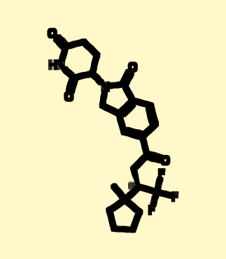 CC1([C@@H](CC(=O)c2ccc3c(c2)CN(C2CCC(=O)NC2=O)C3=O)C(F)(F)F)CCCC1